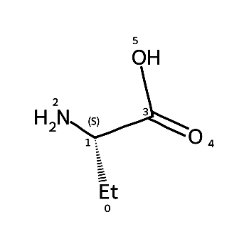 [CH2]C[C@H](N)C(=O)O